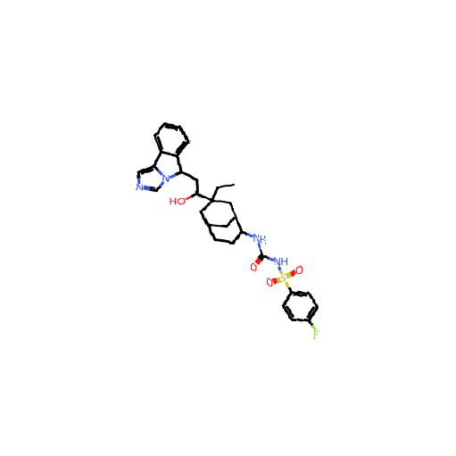 CCC1(C(O)CC2c3ccccc3-c3cncn32)CC2CCC(NC(=O)NS(=O)(=O)c3ccc(F)cc3)C(C2)C1